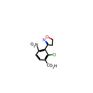 O=C(O)c1ccc([N+](=O)[O-])c(C2=NOCC2)c1Cl